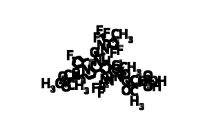 C[C@H]1CC(F)(F)c2c1c(C(F)(F)F)nn2CC(=O)N[C@@H](Cc1cc(F)cc(F)c1)c1nc(C#CC(C)(C)S(C)(=O)=O)ccc1-c1ccc(Cl)c2c(N(COC(=O)C(C)(C)COP(=O)(O)O)S(C)(=O)=O)nn(CC(F)(F)F)c12